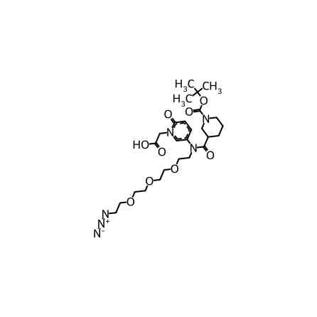 CC(C)(C)OC(=O)N1CCCC(C(=O)N(CCOCCOCCOCCN=[N+]=[N-])c2ccc(=O)n(CC(=O)O)c2)C1